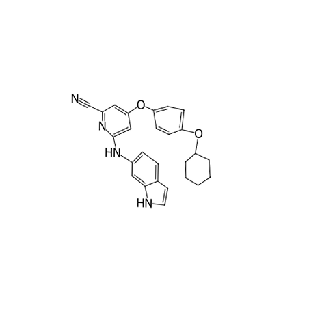 N#Cc1cc(Oc2ccc(OC3CCCCC3)cc2)cc(Nc2ccc3cc[nH]c3c2)n1